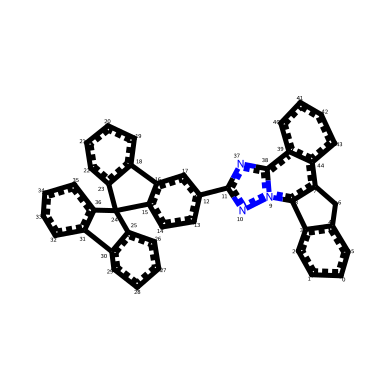 c1ccc2c(c1)Cc1c-2n2nc(-c3ccc4c(c3)-c3ccccc3C43c4ccccc4-c4ccccc43)nc2c2ccccc12